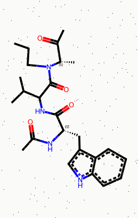 CCCN(C(=O)C(NC(=O)[C@H](Cc1c[nH]c2ccccc12)NC(C)=O)C(C)C)[C@@H](C)C(C)=O